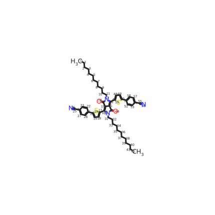 CCCCCCCCCCCCN1C(=O)C2=C(c3ccc(-c4ccc(C#N)cc4)s3)N(CCCCCCCCCCCC)C(=O)C2=C1c1ccc(-c2ccc(C#N)cc2)s1